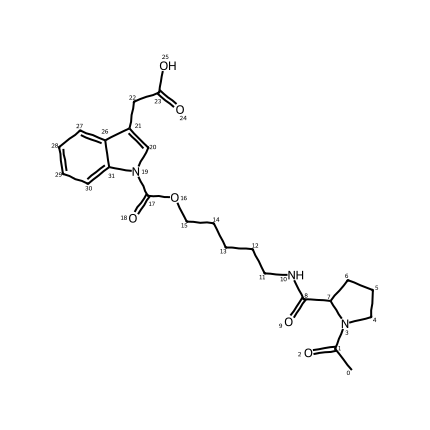 CC(=O)N1CCCC1C(=O)NCCCCCOC(=O)n1cc(CC(=O)O)c2ccccc21